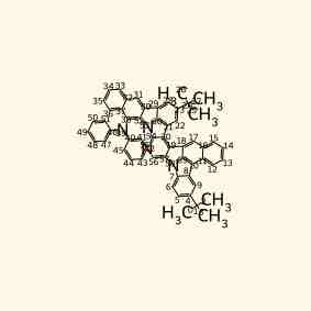 CC(C)(C)c1ccc2c(c1)c1c3ccccc3cc3c4c5c6cc(C(C)(C)C)cc7c8cc9ccccc9c(N(c9ccccc9)c9ccccc9)c8n(c5ncc4n2c31)c76